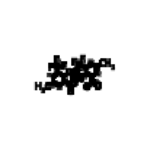 Cc1cc([N+](=O)[O-])c(OP(=O)(O)Oc2c([N+](=O)[O-])cc(C)cc2C(F)(F)F)c(C(F)(F)F)c1